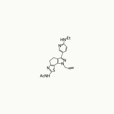 C#CCn1nc(-c2ccc(NCC)nc2)c2c1-c1sc(NC(C)=O)nc1CC2